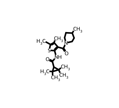 Cc1sc(NC(=O)C2C(C)(C)C2(C)C)c(C(=O)N2CCC(C)CC2)c1C